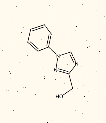 OCc1ncn(-c2ccccc2)n1